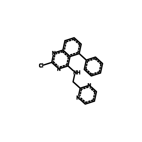 Clc1nc(NCc2ncccn2)c2c(-c3ccccc3)cccc2n1